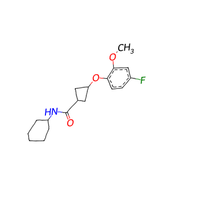 COc1cc(F)ccc1OC1CC(C(=O)NC2CCCCC2)C1